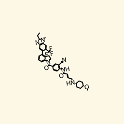 CCc1nc2cc(-c3cccc4c3CCN4C(=O)c3ccc(NC(=O)/C=C/CN[C@H]4CC[C@H](OC)CC4)c(C#N)c3)c(C(F)(F)F)cc2n1C